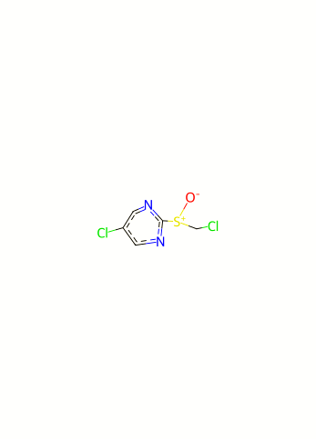 [O-][S+](CCl)c1ncc(Cl)cn1